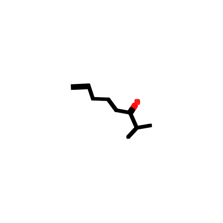 C=CCCCC(=O)C(C)C